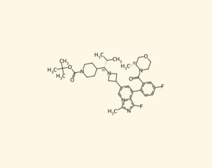 Cc1nc(F)c2c(-c3ccc(F)cc3C(=O)N3CCOC[C@H]3C)cc(C3CN([C@@H](C(C)C)C4CCN(C(=O)OC(C)(C)C)CC4)C3)cn12